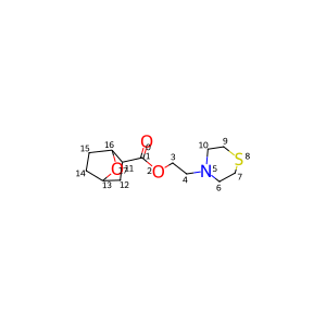 O=C(OCCN1CCSCC1)C1CC2CCC1O2